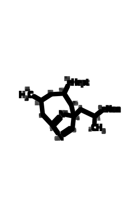 CCCCCCCCCC(C)CC12C=NC(=N1)CC(C)CC(CCCCCCC)C2